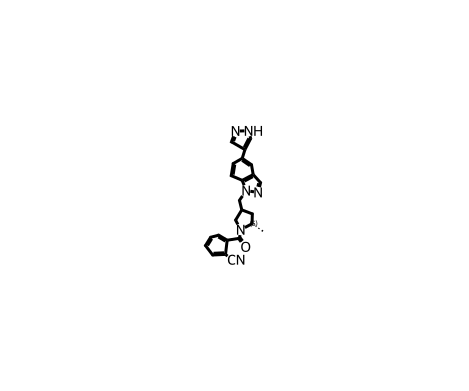 C[C@H]1CC(Cn2ncc3cc(-c4cn[nH]c4)ccc32)CN1C(=O)c1ccccc1C#N